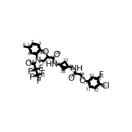 Cc1ccc2c(c1)N(C(=O)C(F)(F)C(F)(F)F)CC(C(=O)NC13CC(NC(=O)COc4ccc(Cl)c(F)c4)(C1)C3)O2